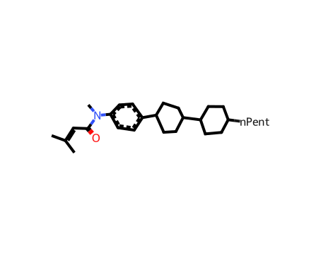 CCCCCC1CCC(C2CCC(c3ccc(N(C)C(=O)C=C(C)C)cc3)CC2)CC1